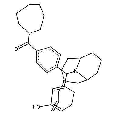 C=CCN1CCC2CCCC(C1)N2C(C1=CC(O)=CCC1)c1ccc(C(=O)N2CCCCCC2)cc1